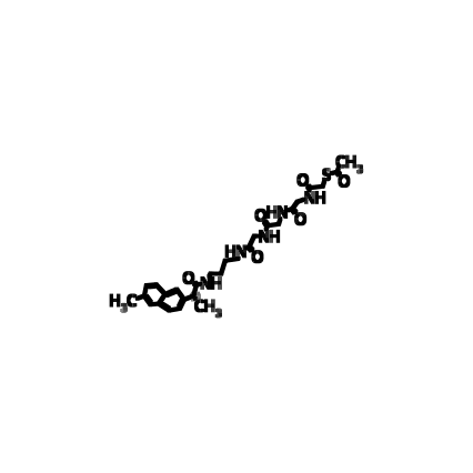 CC(=O)SCC(=O)NCC(=O)NCC(=O)NCC(=O)NCCCCNC(=O)[C@@H](C)c1ccc2cc(C)ccc2c1